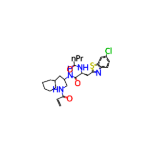 C=CC(=O)NCC(CC1CCCCC1)NC(=O)[C@H](Cc1nc2ccc(Cl)cc2s1)NC(=O)CCC